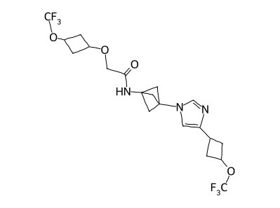 O=C(COC1CC(OC(F)(F)F)C1)NC12CC(n3cnc(C4CC(OC(F)(F)F)C4)c3)(C1)C2